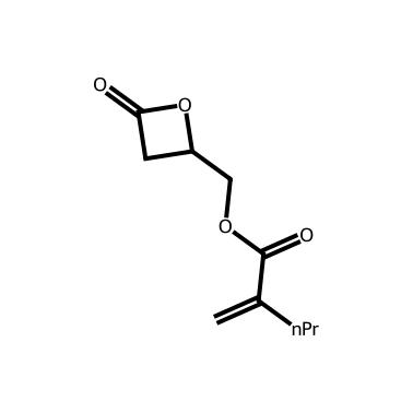 C=C(CCC)C(=O)OCC1CC(=O)O1